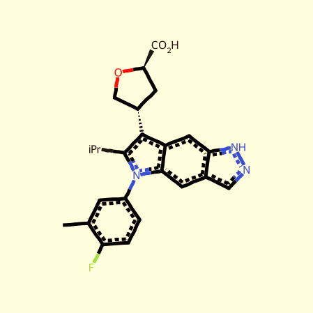 Cc1cc(-n2c(C(C)C)c([C@@H]3CO[C@@H](C(=O)O)C3)c3cc4[nH]ncc4cc32)ccc1F